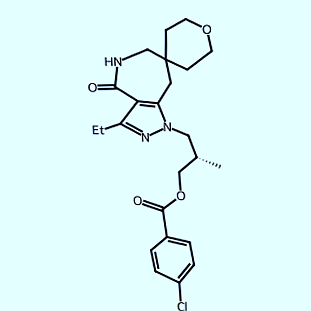 CCc1nn(C[C@H](C)COC(=O)c2ccc(Cl)cc2)c2c1C(=O)NCC1(CCOCC1)C2